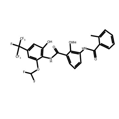 COc1c(NC(=O)c2ccccc2C)cccc1C(=O)Nc1c(O)cc(C(F)(C(F)(F)F)C(F)(F)F)cc1OC(F)F